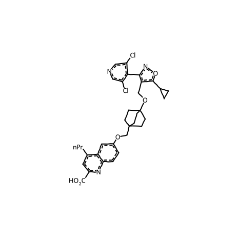 CCCc1cc(C(=O)O)nc2ccc(OCC34CCC(OCc5c(-c6c(Cl)cncc6Cl)noc5C5CC5)(CC3)CC4)cc12